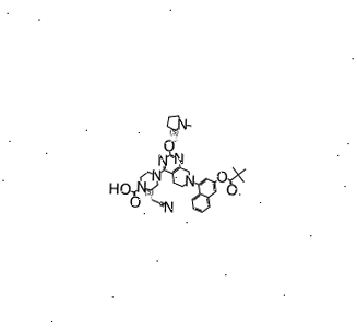 CN1CCC[C@H]1COc1nc2c(c(N3CCN(C(=O)O)[C@@H](CC#N)C3)n1)CCN(c1cc(OC(=O)C(C)(C)C)cc3ccccc13)C2